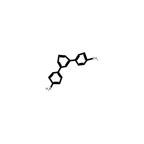 Cc1ccc(-c2cccc(-c3ccc(N)cc3)c2)cc1